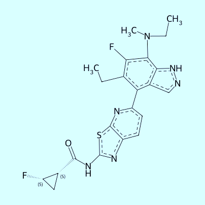 CCc1c(F)c(N(C)CC)c2[nH]ncc2c1-c1ccc2nc(NC(=O)[C@@H]3C[C@@H]3F)sc2n1